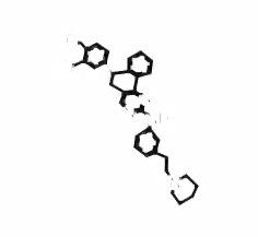 Clc1ccc([C@@H]2Cc3cnc(Nc4cccc(CCN5CCCCC5)c4)nc3-c3ccccc32)cc1Cl